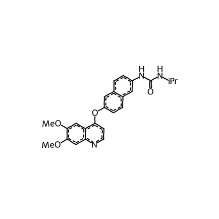 COc1cc2nccc(Oc3ccc4cc(NC(=O)NC(C)C)ccc4c3)c2cc1OC